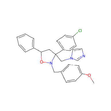 COc1ccc(CN2OC(c3ccccc3)CC2(Cn2ccnc2)c2ccc(Cl)cc2)cc1